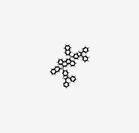 c1ccc(-c2sc3cc(N(c4ccc5ccccc5c4)c4cc5c6ccccc6c(N(c6ccc7ccccc7c6)c6ccc7c(-c8ccccc8)c(-c8ccccc8)sc7c6)cc5c5ccccc45)ccc3c2-c2ccccc2)cc1